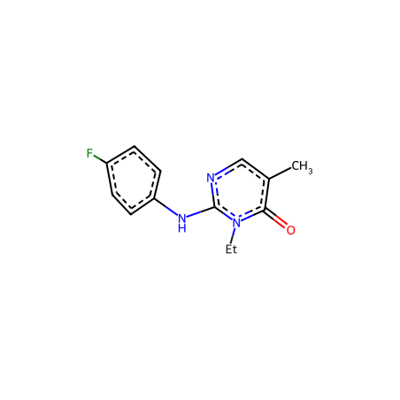 CCn1c(Nc2ccc(F)cc2)ncc(C)c1=O